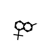 [CH2]c1ccc2c(C(C)(C)C)cccc2c1